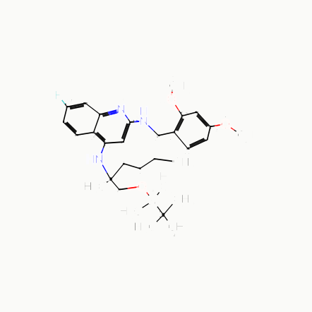 CCCC[C@](C)(CO[Si](C)(C)C(C)(C)C)Nc1cc(NCc2ccc(OC)cc2OC)nc2cc(F)ccc12